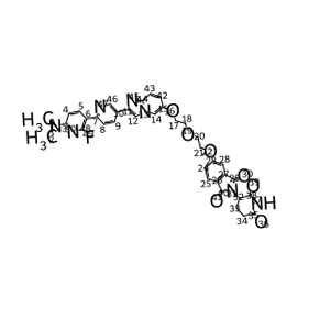 CN(C)c1ccc(-c2ccc(-c3cn4cc(OCCOCCOc5ccc6c(c5)C(=O)N(C5CCC(=O)NC5=O)C6=O)ccc4n3)cn2)c(F)n1